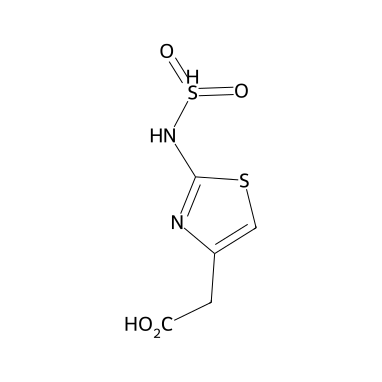 O=C(O)Cc1csc(N[SH](=O)=O)n1